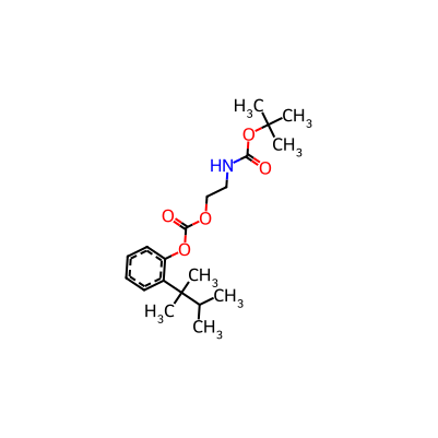 CC(C)C(C)(C)c1ccccc1OC(=O)OCCNC(=O)OC(C)(C)C